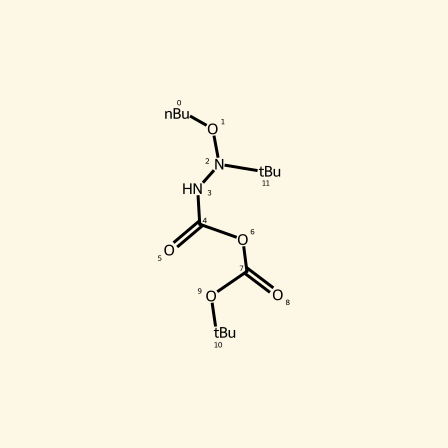 CCCCON(NC(=O)OC(=O)OC(C)(C)C)C(C)(C)C